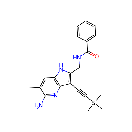 Cc1cc2[nH]c(CNC(=O)c3ccccc3)c(C#C[Si](C)(C)C)c2nc1N